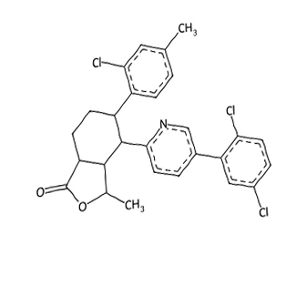 Cc1ccc(C2CCC3C(=O)OC(C)C3C2c2ccc(-c3cc(Cl)ccc3Cl)cn2)c(Cl)c1